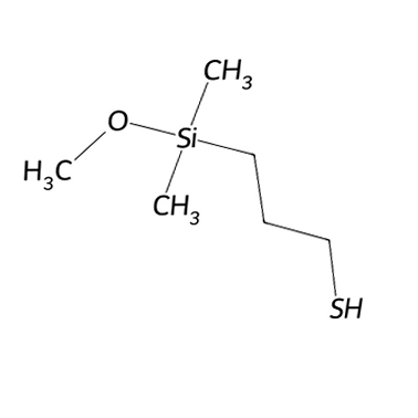 CO[Si](C)(C)CCCS